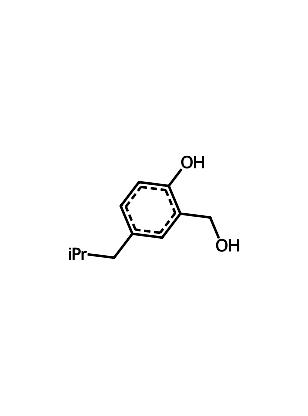 CC(C)Cc1ccc(O)c(CO)c1